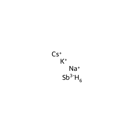 [Cs+].[K+].[Na+].[SbH6-3]